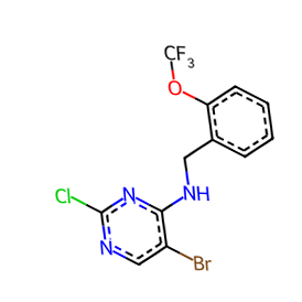 FC(F)(F)Oc1ccccc1CNc1nc(Cl)ncc1Br